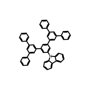 c1ccc(-c2cc(-c3ccccc3)cc(-c3cc(-c4cc(-c5ccccc5)cc(-c5ccccc5)c4)cc(-n4c5ccccc5c5ccccc54)c3)c2)cc1